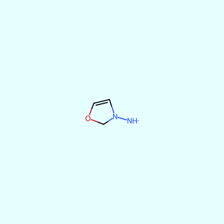 [NH]N1C=COC1